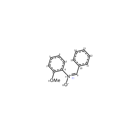 COc1ccccc1/[N+]([O-])=C\c1ccccc1